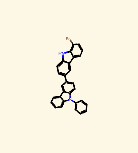 Brc1cccc2c1[nH]c1ccc(-c3ccc4c(c3)c3ccccc3n4-c3ccccc3)cc12